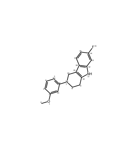 COc1ccnc(N2CCc3[nH]c4cc(F)ccc4c3C2)c1